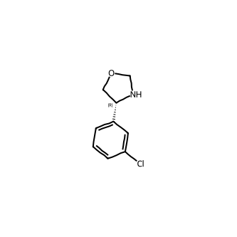 Clc1cccc([C@@H]2COCN2)c1